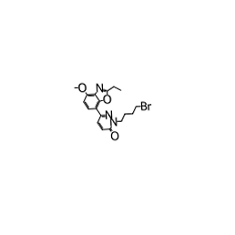 CCc1nc2c(OC)ccc(-c3ccc(=O)n(CCCCBr)n3)c2o1